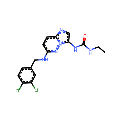 CCNC(=O)Nc1cnc2ccc(NCc3ccc(Cl)c(Cl)c3)nn12